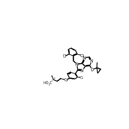 C[C@H](CCOc1ccc(-c2nc3c(OC4(C)CC4)ncnc3n2Cc2c(Cl)cccc2Cl)c(Cl)c1)C(=O)O